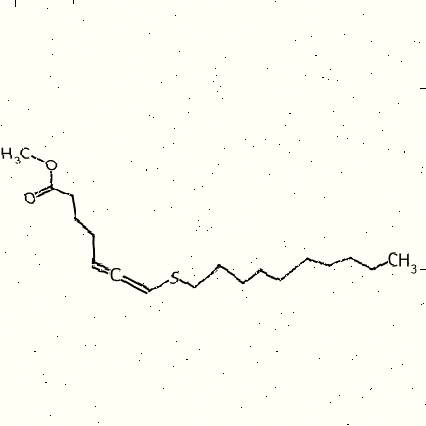 CCCCCCCCCCSC=C=CCCCC(=O)OC